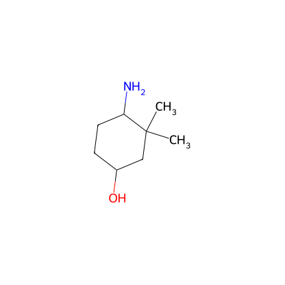 CC1(C)CC(O)CCC1N